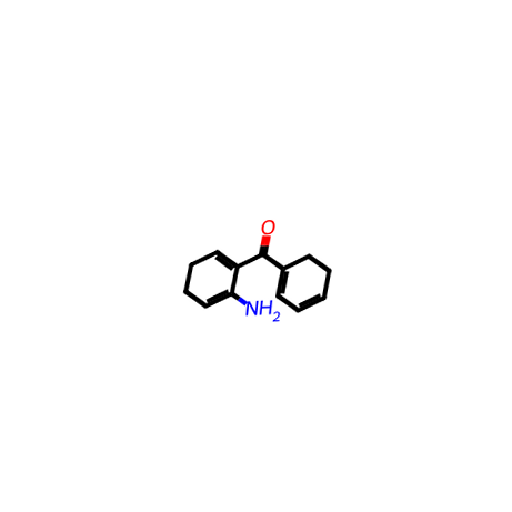 NC1=CCCC=C1C(=O)C1=CC=CCC1